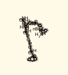 CCCCn1nc2c(N)nc3ccccc3c2c1Cc1ccc(CNC(=O)OCc2ccc(NC(=O)C(CCCNC(N)=O)NC(=O)CNC(=O)CCOCCOCCOCCOCCNC(=O)CCC(=O)N3Cc4ccccc4C#Cc4ccccc43)cc2)cc1